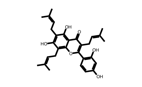 CC(C)=CCc1c(O)c(CC=C(C)C)c2oc(-c3ccc(O)cc3O)c(CC=C(C)C)c(=O)c2c1O